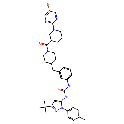 Cc1ccc(-n2nc(C(C)(C)C)cc2NC(=O)Nc2cccc(CC3CCN(C(=O)C4CCCN(c5ncc(Br)cn5)C4)CC3)c2)cc1